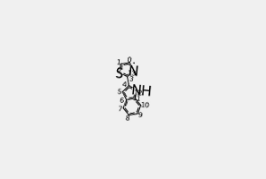 [c]1csc(-c2cc3ccccc3[nH]2)n1